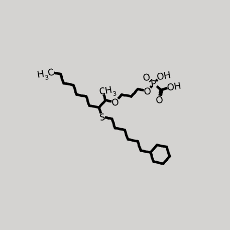 CCCCCCCC(SCCCCCCC1CCCCC1)C(C)OCCCOP(=O)(O)C(=O)O